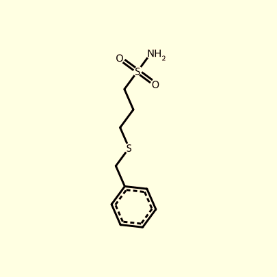 NS(=O)(=O)CCCSCc1ccccc1